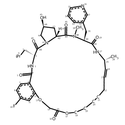 CC(C)C[C@H]1NC(=O)c2ccc(F)cc2OCC(=O)OCCCCC/C=C/[C@@H](C)NC(=O)[C@H](Cc2cccnc2)N(C)C(=O)[C@H]2C[C@H](O)CN2C1=O